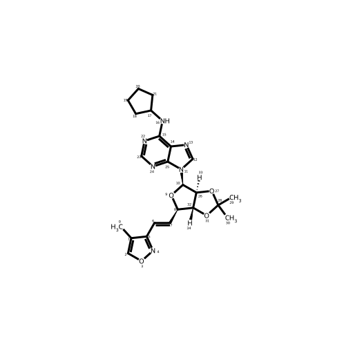 Cc1conc1C=C[C@H]1O[C@@H](n2cnc3c(NC4CCCC4)ncnc32)[C@H]2OC(C)(C)O[C@@H]21